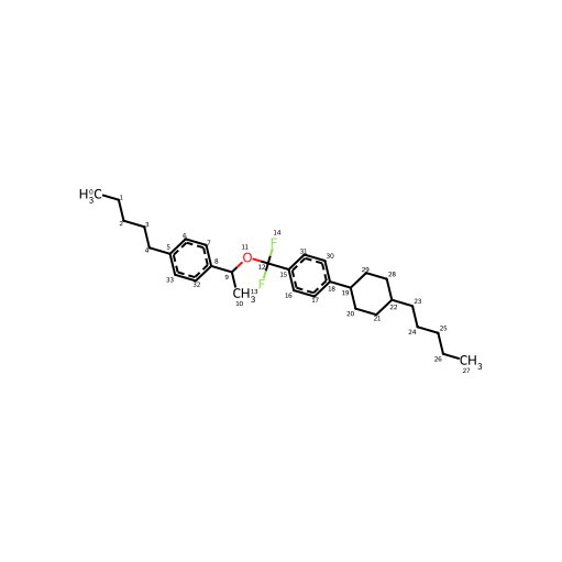 CCCCCc1ccc(C(C)OC(F)(F)c2ccc(C3CCC(CCCCC)CC3)cc2)cc1